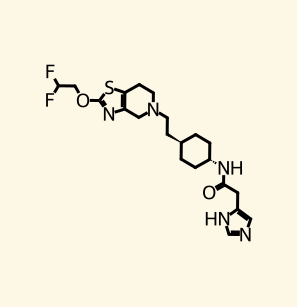 O=C(Cc1cnc[nH]1)N[C@H]1CC[C@H](CCN2CCc3sc(OCC(F)F)nc3C2)CC1